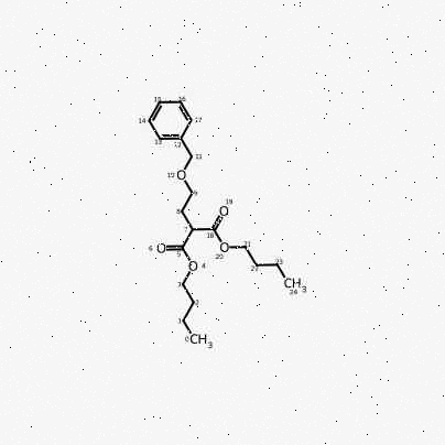 CCCCOC(=O)C(CCOCc1ccccc1)C(=O)OCCCC